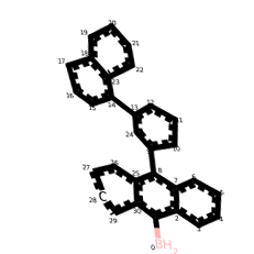 Bc1c2ccccc2c(-c2cccc(-c3cccc4ccccc34)c2)c2ccccc12